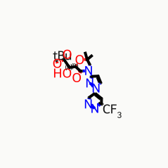 CC(C)(C)OC(=O)[C@H](O)[C@H]1OC(C)(C)CN(c2ccn(-c3cnnc(C(F)(F)F)c3)n2)C1=O